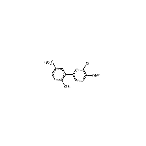 COc1ccc(-c2cc(C(=O)O)ccc2C)cc1Cl